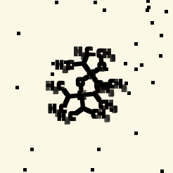 CO[Si](OC)(O[Si](C(C)C)(C(C)C)C(C)C)C(C)C